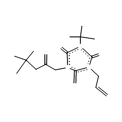 C=CCn1c(=O)n(CC(=O)CC(C)(C)C)c(=O)n(C(C)(C)C)c1=O